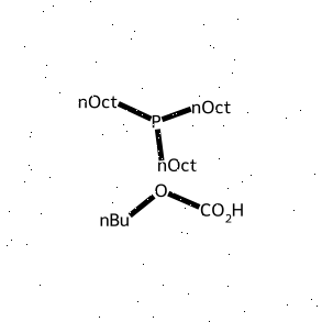 CCCCCCCCP(CCCCCCCC)CCCCCCCC.CCCCOC(=O)O